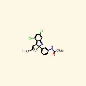 COC(=O)Nc1cccc(C2(C(=O)O)N=c3cc(Cl)cc(Cl)c3=C2/C=C/C(=O)O)c1